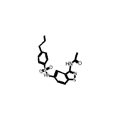 CCCc1ccc(S(=O)(=O)Nc2ccc3snc(NC(C)=O)c3c2)cc1